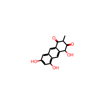 CC1C(=O)c2cc3cc(O)cc(O)c3cc2C(O)C1=O